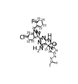 C=C(C)CCC1CCN(C2(C)C(=O)Nc3nc(-c4nn(Cc5ccccc5F)c5cc(Cl)ccc45)nc(N)c32)C1